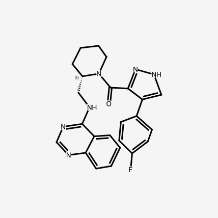 O=C(c1n[nH]cc1-c1ccc(F)cc1)N1CCCC[C@H]1CNc1ncnc2ccccc12